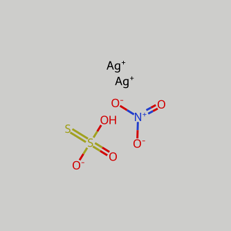 O=S([O-])(O)=S.O=[N+]([O-])[O-].[Ag+].[Ag+]